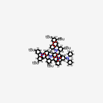 CC(C)(C)c1cc(-c2ccc3c(c2)N(c2c(-c4ccccc4)cc(C(C)(C)C)cc2-c2ccccc2)c2cc(-n4c5ccccc5c5cc(N(c6ccccc6)c6ccccc6)ccc54)cc4c2B3c2ccc(-n3c5ccc(C(C)(C)C)cc5c5cc(C(C)(C)C)ccc53)cc2N4c2c(-c3ccccc3)cc(C(C)(C)C)cc2-c2ccccc2)cc(C(C)(C)C)c1